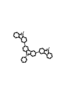 Cn1c2ccccc2c2cc(-c3ccc4c(c3)c3cc(-c5ccc6c(c5)c5ccccc5n6C)ccc3n4-c3ccccc3)ccc21